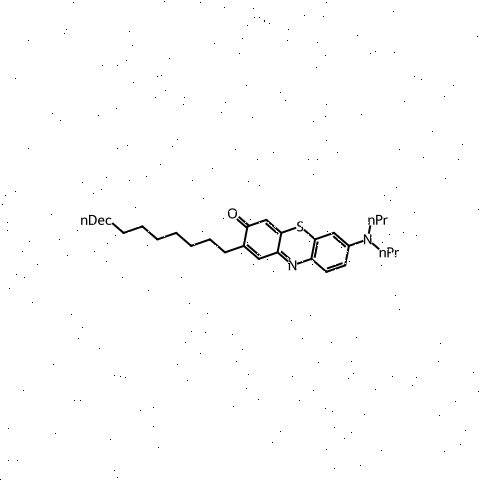 CCCCCCCCCCCCCCCCCc1cc2nc3ccc(N(CCC)CCC)cc3sc-2cc1=O